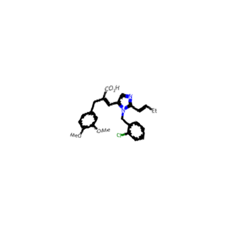 CCC=Cc1ncc(C=C(Cc2ccc(OC)c(OC)c2)C(=O)O)n1Cc1ccccc1Cl